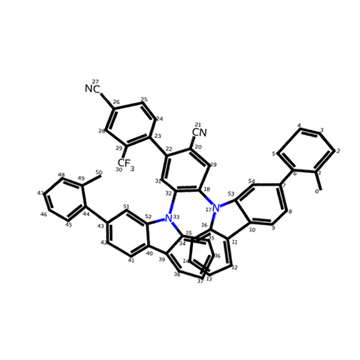 Cc1ccccc1-c1ccc2c3ccccc3n(-c3cc(C#N)c(-c4ccc(C#N)cc4C(F)(F)F)cc3-n3c4ccccc4c4ccc(-c5ccccc5C)cc43)c2c1